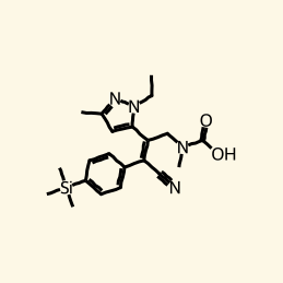 CCn1nc(C)cc1/C(CN(C)C(=O)O)=C(/C#N)c1ccc([Si](C)(C)C)cc1